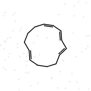 [CH]1/C=C/CCC\C=C/C=C/C=C/CC1